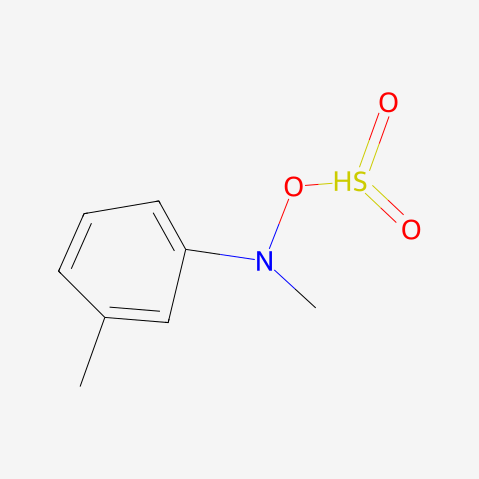 Cc1cccc(N(C)O[SH](=O)=O)c1